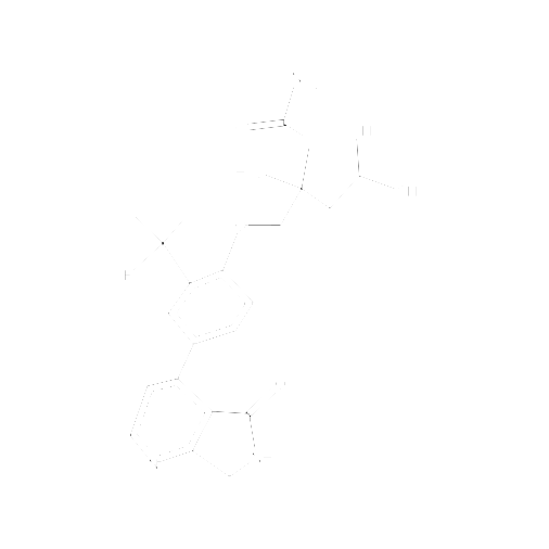 CC(C)CC(C)(COc1ccc(-c2ccnc3c2C(=O)NC3)cc1C(F)(F)F)OC(N)=O